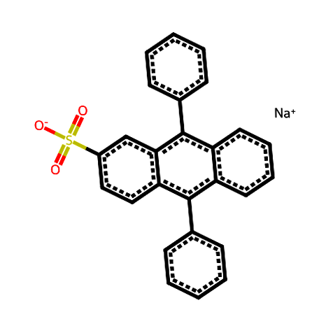 O=S(=O)([O-])c1ccc2c(-c3ccccc3)c3ccccc3c(-c3ccccc3)c2c1.[Na+]